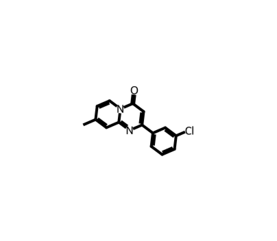 Cc1ccn2c(=O)cc(-c3cccc(Cl)c3)nc2c1